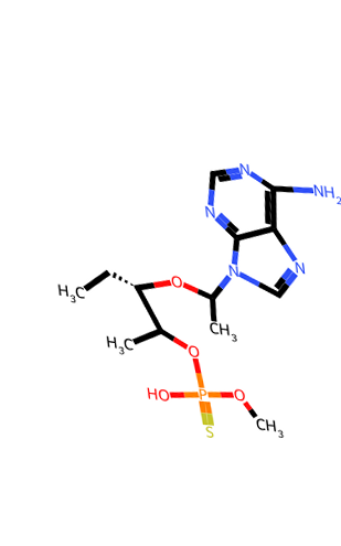 CC[C@H](OC(C)n1cnc2c(N)ncnc21)C(C)OP(O)(=S)OC